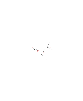 B[C@H]1C[C@@H](OC[C@H]2O[C@@H](B)C[C@H]2OC(=O)CCC(N)=O)[C@@H](CO)O1